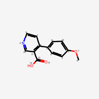 COc1ccc(-c2ccncc2C(=O)O)cc1